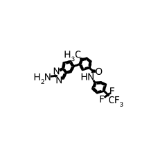 Cc1ccc(C(=O)Nc2ccc(C(F)(F)C(F)(F)F)cc2)cc1-c1ccc2nc(N)ncc2c1